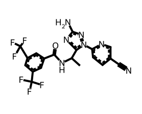 CC(NC(=O)c1cc(C(F)(F)F)cc(C(F)(F)F)c1)c1nc(N)nn1-c1ccc(C#N)cn1